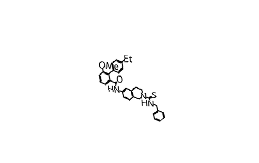 CCc1ccc(-c2c(OC)cccc2C(=O)Nc2ccc3c(c2)CCN(C(=S)NCc2ccccc2)C3)cc1